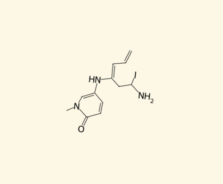 C=C/C=C(\CC(N)I)Nc1ccc(=O)n(C)c1